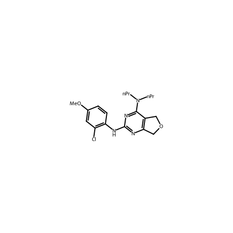 CCCN(CCC)c1nc(Nc2ccc(OC)cc2Cl)nc2c1COC2